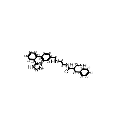 O=C(NCCNCc1ccc(-c2ccccc2-c2nnn[nH]2)cc1)C(CS)Cc1ccccc1